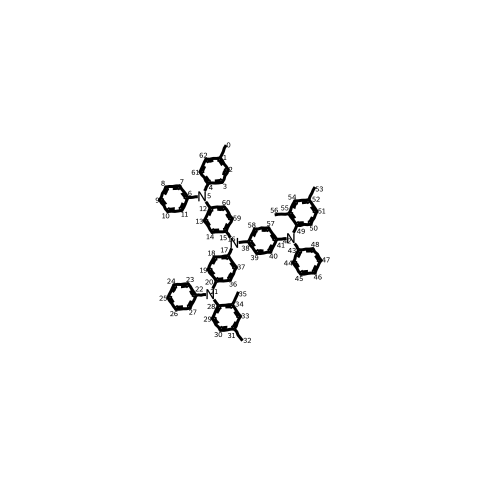 Cc1ccc(N(c2ccccc2)c2ccc(N(c3ccc(N(c4ccccc4)c4ccc(C)cc4C)cc3)c3ccc(N(c4ccccc4)c4ccc(C)cc4C)cc3)cc2)cc1